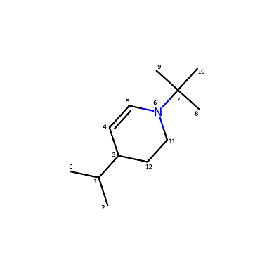 CC(C)C1C=CN(C(C)(C)C)CC1